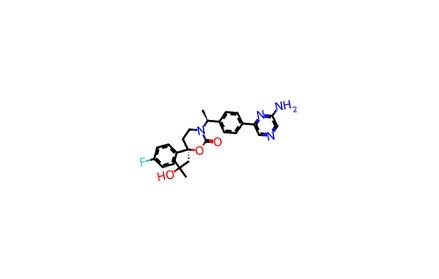 C[C@@H](c1ccc(-c2cncc(N)n2)cc1)N1CC[C@](CC(C)(C)O)(c2ccc(F)cc2)OC1=O